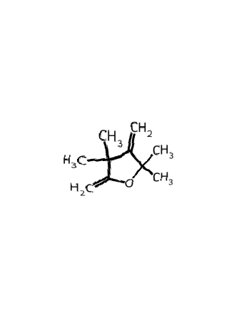 C=C1OC(C)(C)C(=C)C1(C)C